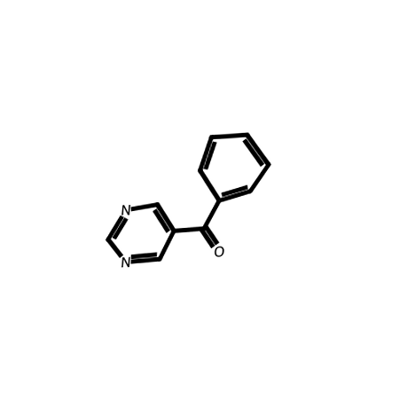 O=C(c1ccccc1)c1cncnc1